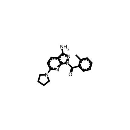 Cc1ccccc1C(=O)n1nc(N)c2ccc(N3CCCC3)nc21